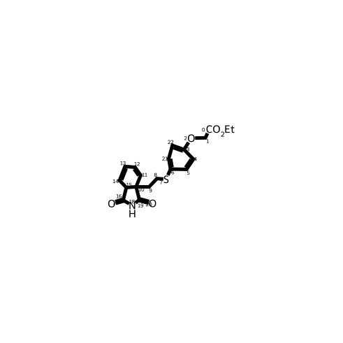 CCOC(=O)COc1ccc(SCCC23C=CC=CC2C(=O)NC3=O)cc1